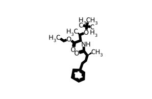 CCOC(=O)[C@@H](NC(=O)[C@@H](C)CCc1ccccc1)[C@@H](C)OC(C)(C)C